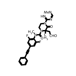 CN/C=N\C(=N)N1CCN(C(=O)N(C)c2c(F)cc(C#Cc3ccccc3)cc2F)C(C)(CC=O)C1=O